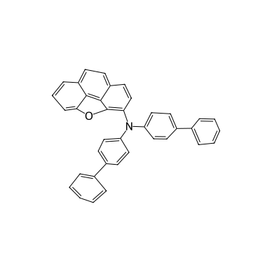 c1ccc(-c2ccc(N(c3ccc(-c4ccccc4)cc3)c3ccc4ccc5cccc6oc3c4c56)cc2)cc1